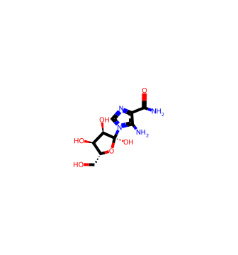 NC(=O)c1ncn([C@@]2(O)O[C@H](CO)[C@@H](O)[C@H]2O)c1N